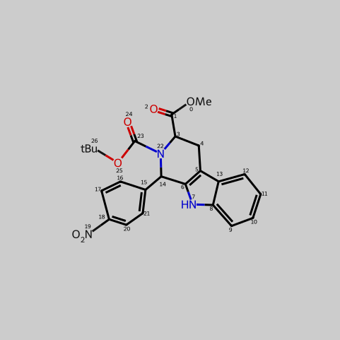 COC(=O)C1Cc2c([nH]c3ccccc23)C(c2ccc([N+](=O)[O-])cc2)N1C(=O)OC(C)(C)C